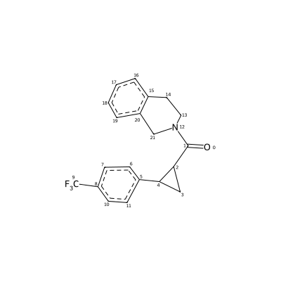 O=C(C1CC1c1ccc(C(F)(F)F)cc1)N1CCc2ccccc2C1